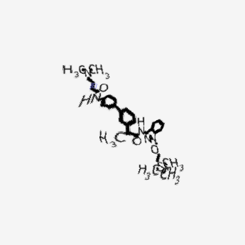 CC(C(=O)Nc1nn(COCC[Si](C)(C)C)c2ccccc12)c1cccc(-c2ccc(NC(=O)/C=C/CN(C)C)cc2)c1